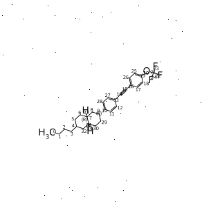 CCCCC1CC[C@@H]2C[C@H](c3ccc(C#Cc4ccc(OC(F)(F)F)cc4)cc3)CC[C@@H]2C1